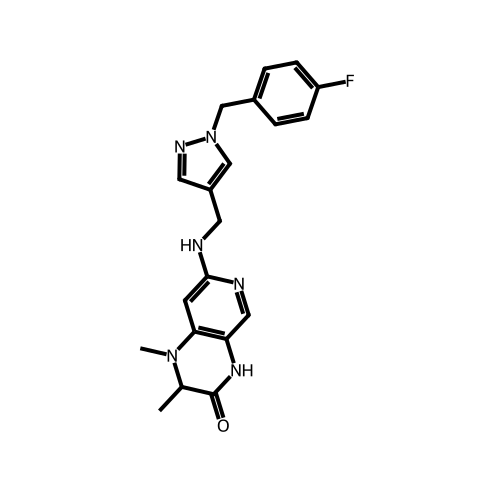 CC1C(=O)Nc2cnc(NCc3cnn(Cc4ccc(F)cc4)c3)cc2N1C